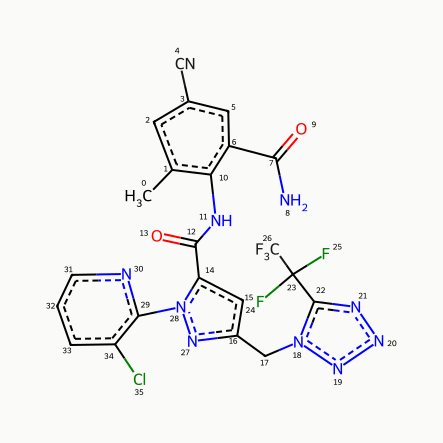 Cc1cc(C#N)cc(C(N)=O)c1NC(=O)c1cc(Cn2nnnc2C(F)(F)C(F)(F)F)nn1-c1ncccc1Cl